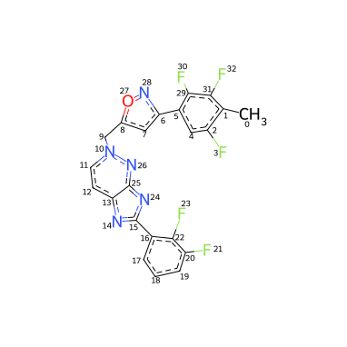 Cc1c(F)cc(-c2cc(Cn3ccc4nc(-c5cccc(F)c5F)nc-4n3)on2)c(F)c1F